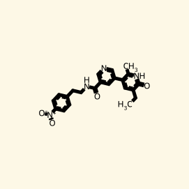 CCc1cc(-c2cncc(C(=O)NCCc3ccc([N+](=O)[O-])cc3)c2)c(C)[nH]c1=O